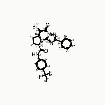 O=C(Nc1ccc(C(F)(F)F)cc1)[C@H]1CCc2c(Br)c(=O)n3nc(-c4ccccc4)nc3n21